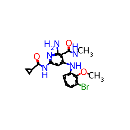 CNC(=O)c1c(Nc2cccc(Br)c2OC)cc(NC(=O)C2CC2)nc1N